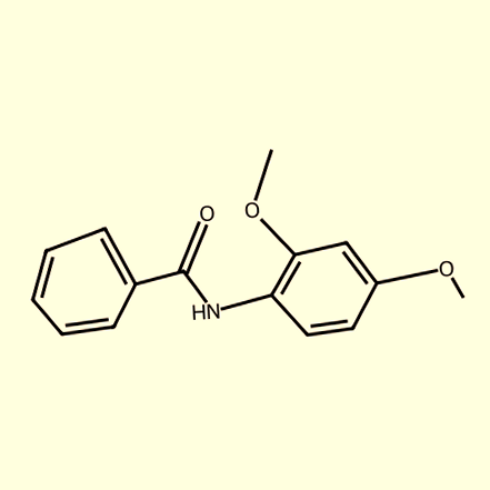 COc1ccc(NC(=O)c2ccccc2)c(OC)c1